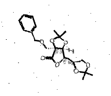 CC1(C)OC[C@H]([C@H]2OC(=O)[C@@]3(COCc4ccccc4)OC(C)(C)O[C@@H]23)O1